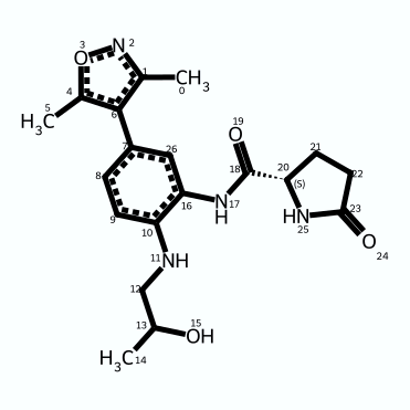 Cc1noc(C)c1-c1ccc(NCC(C)O)c(NC(=O)[C@@H]2CCC(=O)N2)c1